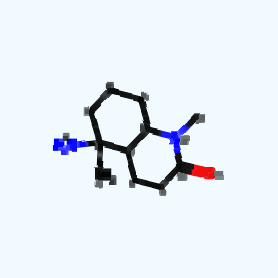 BC1(N)CCCC2C1CCC(=O)N2C